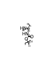 CC[C@@H](CNC(=O)OC(C)(C)C)NC